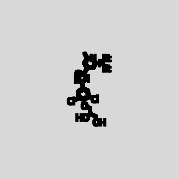 CCN(CC)c1cc(-c2nc(-c3cc(Cl)c(OCC(O)CO)c(Cl)c3)no2)cc(C)n1